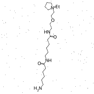 [CH2]C[N+]1(CCOCCNC(=O)CCCCCNC(=O)CCCCCN)CCCC1